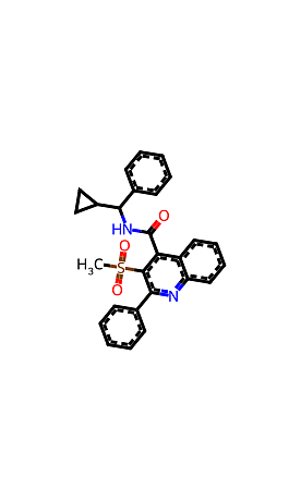 CS(=O)(=O)c1c(-c2ccccc2)nc2ccccc2c1C(=O)NC(c1ccccc1)C1CC1